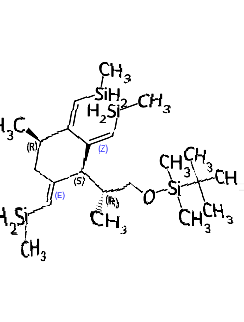 C[SiH2]C=C1/C(=C\[SiH2]C)[C@@H]([C@@H](C)CO[Si](C)(C)C(C)(C)C)/C(=C/[SiH2]C)C[C@H]1C